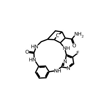 NC(=O)C1C2CC3CNC(=O)Nc4cccc(c4)Nc4ncc(F)c(n4)NC1C3C2